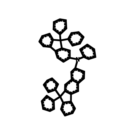 c1ccc(N(c2ccc3c(c2)C(c2ccccc2)(c2ccccc2)c2ccccc2-3)c2ccc3cc4c(cc3c2)C(c2ccccc2)(c2ccccc2)c2ccccc2-4)cc1